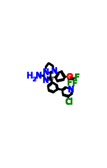 NC1=N[C@](c2ccc(OC(F)(F)F)cc2)(c2cccc(-c3cncc(Cl)c3)c2)C2=NCCCN12